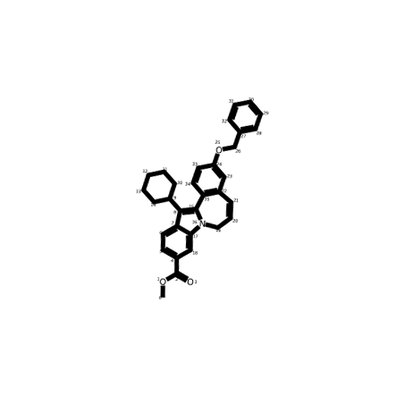 COC(=O)c1ccc2c(C3CCCCC3)c3n(c2c1)CC=Cc1cc(OCc2ccccc2)ccc1-3